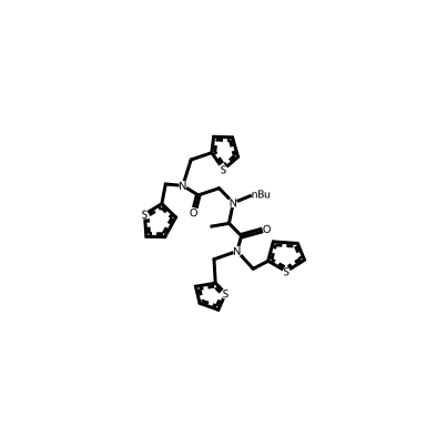 CCCCN(CC(=O)N(Cc1cccs1)Cc1cccs1)C(C)C(=O)N(Cc1cccs1)Cc1cccs1